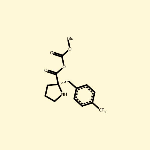 CC(C)(C)OC(=O)OC(=O)[C@]1(Cc2ccc(C(F)(F)F)cc2)CCCN1